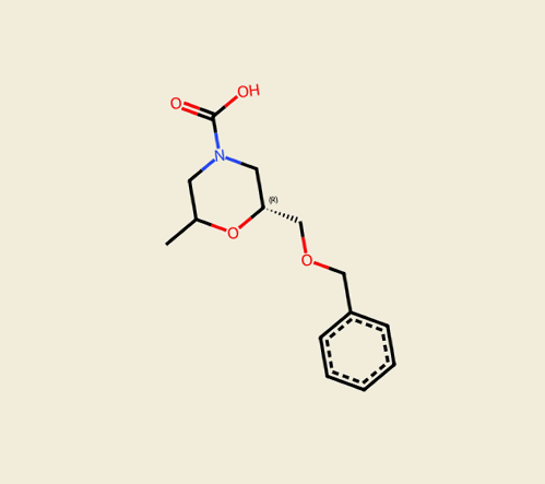 CC1CN(C(=O)O)C[C@H](COCc2ccccc2)O1